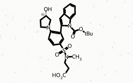 CN(CCC(=O)O)S(=O)(=O)c1ccc(N2CC[C@H](O)C2)c(-c2cc3ccccc3n2C(=O)OC(C)(C)C)c1